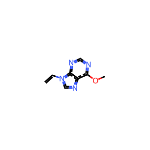 C=Cn1cnc2c(OC)ncnc21